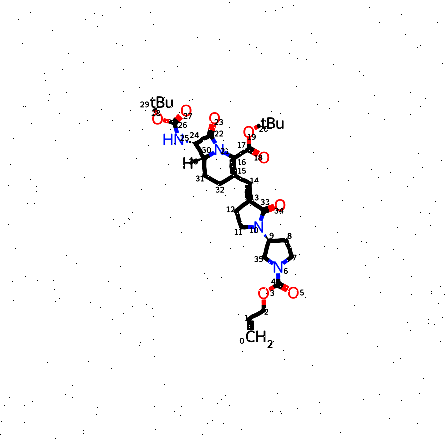 C=CCOC(=O)N1CC[C@@H](N2CCC(=CC3=C(C(=O)OC(C)(C)C)N4C(=O)[C@@H](NC(=O)OC(C)(C)C)[C@H]4CC3)C2=O)C1